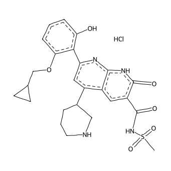 CS(=O)(=O)NC(=O)c1cc2c(C3CCCNC3)cc(-c3c(O)cccc3OCC3CC3)nc2[nH]c1=O.Cl